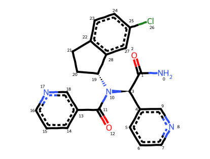 NC(=O)[C@@H](c1cccnc1)N(C(=O)c1cccnc1)[C@@H]1CCc2ccc(Cl)cc21